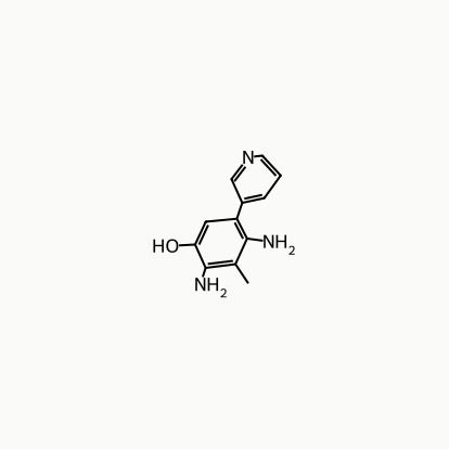 Cc1c(N)c(O)cc(-c2cccnc2)c1N